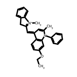 CCOc1ccc2c(c1)N(c1ccccc1)C(C)=C/C2=C\C1=[N+](C)c2ccccc2C1